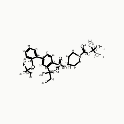 CC(C)(C)OC(=O)N1CCC(NS(=O)(=O)c2ccc(-c3ccccc3OC(F)(F)F)cc2C(F)(F)CF)CC1